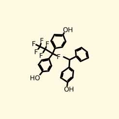 CC(c1ccccc1)c1ccc(O)cc1.Oc1ccc(C(F)(c2ccc(O)cc2)C(F)(F)C(F)(F)F)cc1